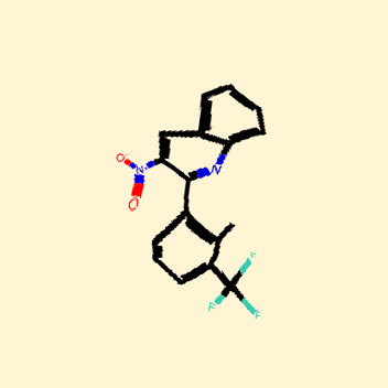 Cc1c(-c2nc3ccccc3cc2[N+](=O)[O-])cccc1C(F)(F)F